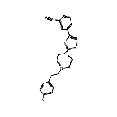 N#Cc1cccc(-c2nsc(N3CCN(CCc4ccc(Cl)cc4)CC3)n2)c1